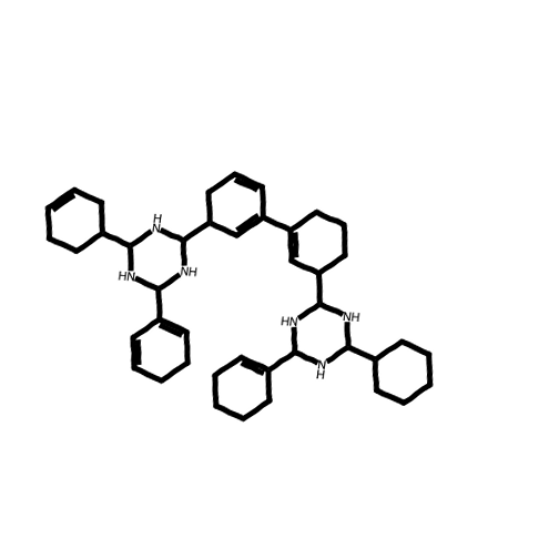 C1=CC(C2NC(C3C=C(C4=CC(C5NC(C6=CCCCC6)NC(C6CCCCC6)N5)CCC4)C=CC3)NC(C3CC=CCC3)N2)=CCC1